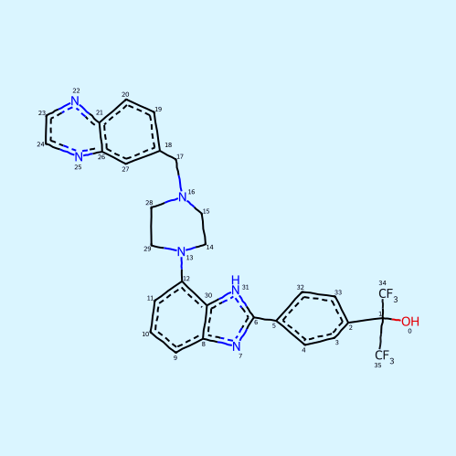 OC(c1ccc(-c2nc3cccc(N4CCN(Cc5ccc6nccnc6c5)CC4)c3[nH]2)cc1)(C(F)(F)F)C(F)(F)F